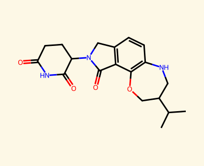 CC(C)C1CNc2ccc3c(c2OC1)C(=O)N(C1CCC(=O)NC1=O)C3